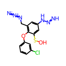 [N-]=[N+]=NCc1cc(NN=N)cc(SO)c1Oc1cccc(Cl)c1